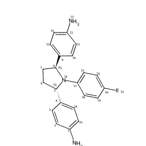 Nc1ccc([C@@H]2CC[C@@H](c3ccc(N)cc3)N2c2ccc(F)cc2)cc1